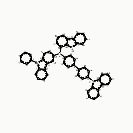 c1ccc(-n2c3ccccc3c3cc(N(c4ccc(-c5ccc(-n6c7ccccc7c7ccccc76)cc5)cc4)c4cccc5c4sc4ccccc45)ccc32)cc1